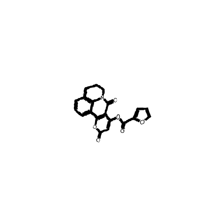 O=C(Oc1cc(=O)oc2c1c(=O)n1c3c(cccc23)CCC1)c1ccco1